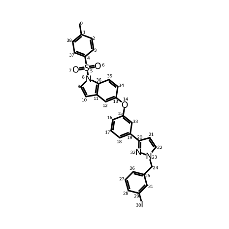 Cc1ccc(S(=O)(=O)n2ccc3cc(Oc4cccc(-c5ccn(Cc6cccc(I)c6)n5)c4)ccc32)cc1